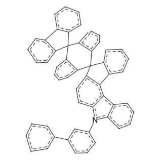 c1ccc(-c2cccc(-n3c4ccccc4c4c5c(ccc43)C3(c4ccccc4-5)c4ccccc4C4(c5ccccc5-c5ccccc54)c4ccccc43)c2)cc1